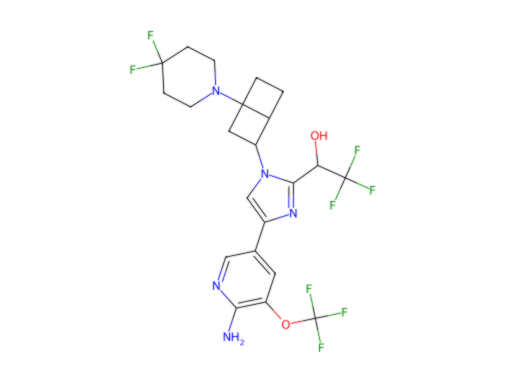 Nc1ncc(-c2cn(C3CC4(N5CCC(F)(F)CC5)CCC34)c(C(O)C(F)(F)F)n2)cc1OC(F)(F)F